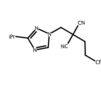 CC(C)c1ncn(CC(C#N)(C#N)CCC(F)(F)F)n1